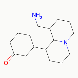 NCC1CCCN2CCCC(C3CCCC(=O)C3)C12